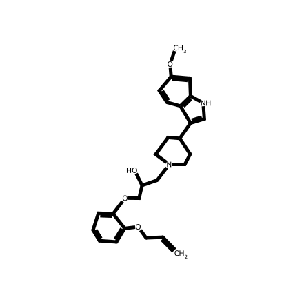 C=CCOc1ccccc1OCC(O)CN1CCC(c2c[nH]c3cc(OC)ccc23)CC1